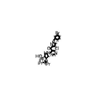 CC(C)[Si](O[C@H]1C[C@H](Nc2ncncc2C(=O)c2nn(Cc3cccc(Br)c3)cc2Cl)C[C@@H]1CO)(C(C)C)C(C)C